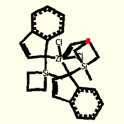 C[CH]=[Zr]([Cl])([Cl])([C]1([Si]2(C)CCC2)C=Cc2ccccc21)[C]1([Si]2(C)CCC2)C=Cc2ccccc21